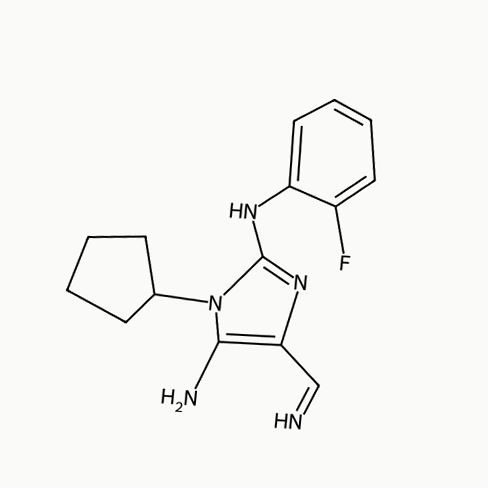 N=Cc1nc(Nc2ccccc2F)n(C2CCCC2)c1N